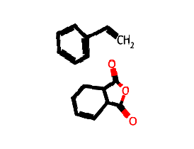 C=Cc1ccccc1.O=C1OC(=O)C2CCC=CC12